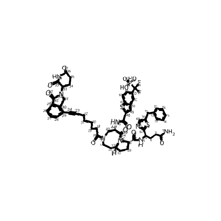 NC(=O)CCC(NC(=O)[C@@H]1CC[C@@H]2CCN(C(=O)CCCCCC#Cc3cccc4c3CN(C3CCC(=O)NC3=O)C4=O)C[C@H](NC(=O)c3cc4cc(C(F)(F)P(=O)(O)O)ccc4s3)C(=O)N21)c1ncc(Cc2ccccc2)s1